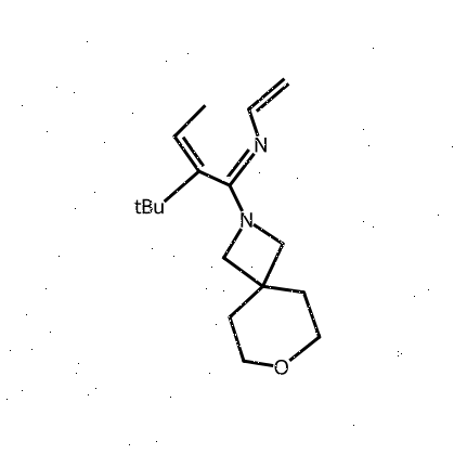 C=C/N=C(\C(=C/C)C(C)(C)C)N1CC2(CCOCC2)C1